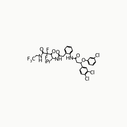 CC(C)[C@H](NC(=O)Cc1ccccc1NC(=O)CC(Oc1cccc(Cl)c1)c1ccc(Cl)c(Cl)c1)C(=O)C(F)(F)C(=O)NCC(F)(F)F